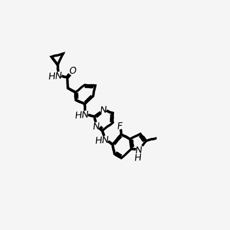 Cc1cc2c(F)c(Nc3ccnc(Nc4cccc(CC(=O)NC5CC5)c4)n3)ccc2[nH]1